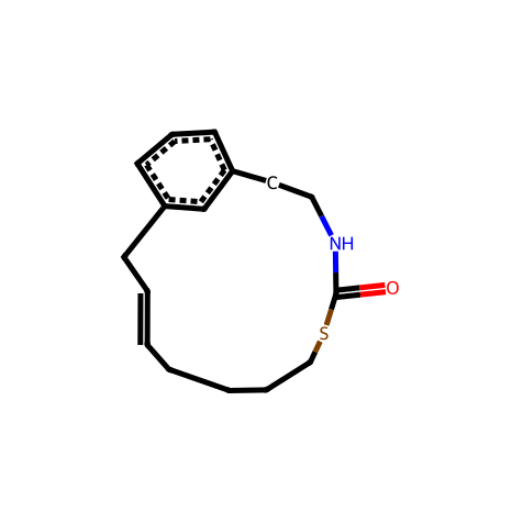 O=C1NCCc2cccc(c2)C/C=C/CCCCS1